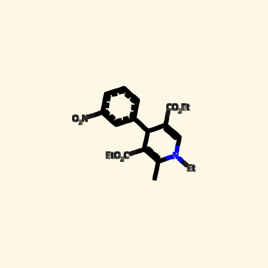 CCOC(=O)C1=CN(CC)C(C)=C(C(=O)OCC)C1c1cccc([N+](=O)[O-])c1